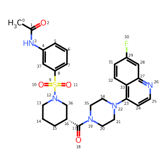 CC(=O)Nc1cccc(S(=O)(=O)N2CCC[C@@H](C(=O)N3CCN(c4ccnc5cc(F)ccc45)CC3)C2)c1